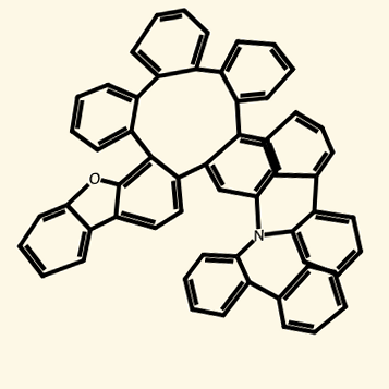 c1ccc(-c2ccccc2N(c2ccc3c4ccccc4c4ccccc4c4ccccc4c4c(ccc5c6ccccc6oc54)c3c2)c2ccccc2-c2ccccc2)cc1